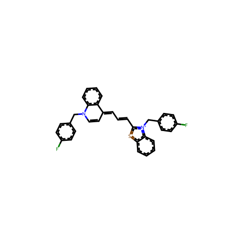 Fc1ccc(CN2C=C/C(=C\C=C\c3sc4ccccc4[n+]3Cc3ccc(F)cc3)c3ccccc32)cc1